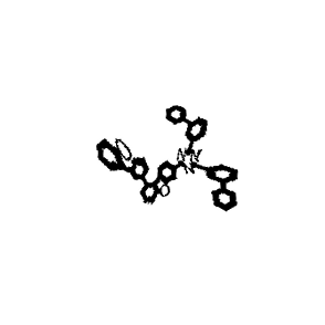 c1ccc(-c2cccc(-c3nc(-c4cccc(-c5ccccc5)c4)nc(-c4ccc5c(c4)oc4cccc(-c6ccc7oc8ccccc8c7c6)c45)n3)c2)cc1